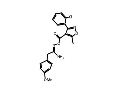 COc1ccc(C/C(N)=N/OC(=O)c2c(-c3ccccc3Cl)noc2C)cc1